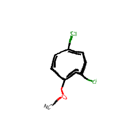 N#COc1ccc(Cl)cc1Cl